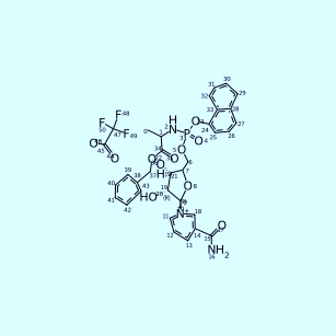 CC(NP(=O)(OCC1O[C@@H]([n+]2cccc(C(N)=O)c2)[C@H](O)[C@@H]1O)Oc1cccc2ccccc12)C(=O)OCc1ccccc1.O=C([O-])C(F)(F)F